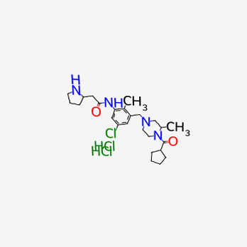 Cc1c(CN2CCN(C(=O)C3CCCC3)C(C)C2)cc(Cl)cc1NC(=O)CC1CCCN1.Cl.Cl